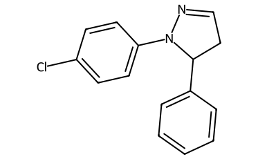 Clc1ccc(N2N=CCC2c2ccccc2)cc1